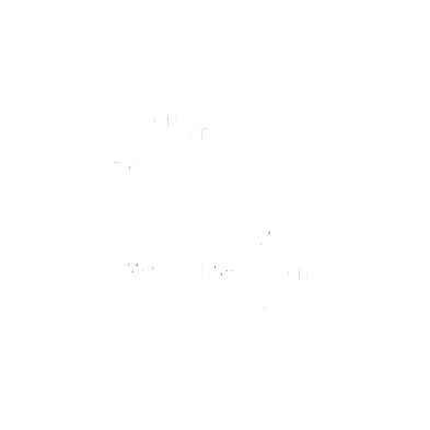 COc1cc(C(O)(C(F)(F)F)C(F)(F)F)ccc1NS(C)(=O)=O